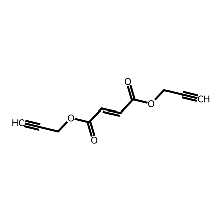 C#CCOC(=O)C=CC(=O)OCC#C